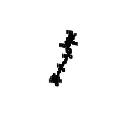 CC(=O)N1c2cc(F)c(O)cc2Oc2cc(O)c(-c3ccc(C(=O)NCCCCCNC(=O)CCCC[C@@H]4SC[C@@H]5NC(=O)N[C@@H]54)cc3)cc21